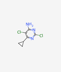 Nc1nc(Cl)nc(C2CC2)c1Cl